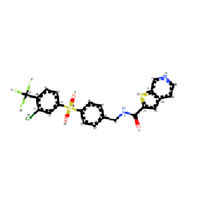 O=C(NCc1ccc(S(=O)(=O)c2ccc(C(F)(F)F)c(Cl)c2)cc1)c1cc2ccncc2s1